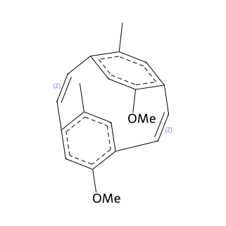 COc1cc2c(C)cc1/C=C\c1cc(C)c(cc1OC)/C=C\2